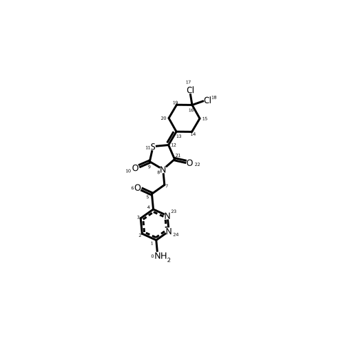 Nc1ccc(C(=O)CN2C(=O)SC(=C3CCC(Cl)(Cl)CC3)C2=O)nn1